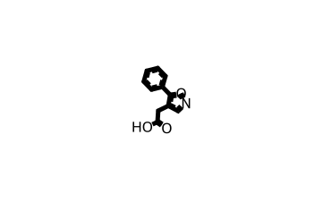 O=C(O)Cc1cnoc1-c1ccccc1